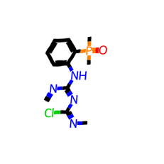 C=N/C(=N\C(Cl)=N/C)Nc1ccccc1P(C)(C)=O